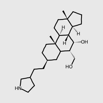 C[C@@]12CCC[C@H]1[C@@H]1[C@H](O)[C@H](CO)C3C[C@@H](CCC4CCNC4)CC[C@]3(C)[C@H]1CC2